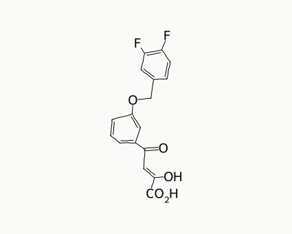 O=C(O)C(O)=CC(=O)c1cccc(OCc2ccc(F)c(F)c2)c1